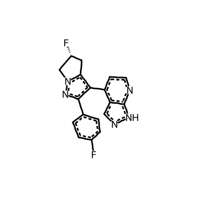 Fc1ccc(-c2nn3c(c2-c2ccnc4[nH]ncc24)C[C@@H](F)C3)cc1